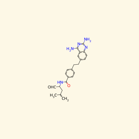 C=C(C)CC(C=O)NC(=O)c1ccc(CCc2ccc3nc(N)nc(N)c3c2)cc1